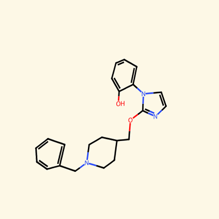 Oc1ccccc1-n1ccnc1OCC1CCN(Cc2ccccc2)CC1